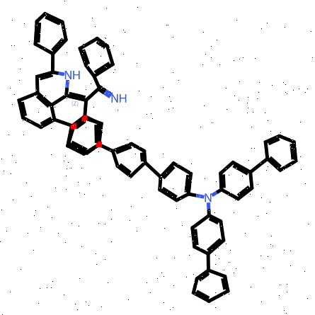 N=C(/C(=C1\NC(c2ccccc2)=Cc2cccc(-c3ccc(-c4ccc(-c5ccc(N(c6ccc(-c7ccccc7)cc6)c6ccc(-c7ccccc7)cc6)cc5)cc4)cc3)c21)c1ccccc1)c1ccccc1